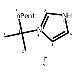 CCCCCC(C)(C)[n+]1cc[nH]c1.[I-]